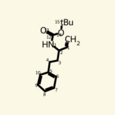 C=CC(CCc1ccccc1)NC(=O)OC(C)(C)C